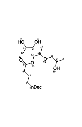 CC(O)CO.CCCCCCCCCCCCCC(=O)OCC(C)OCC(C)O